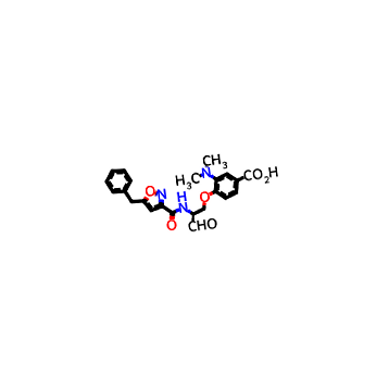 CN(C)c1cc(C(=O)O)ccc1OC[C@@H](C=O)NC(=O)c1cc(Cc2ccccc2)on1